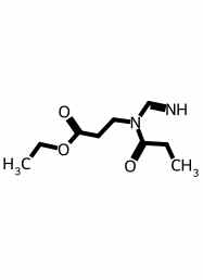 CCOC(=O)CCN(C=N)C(=O)CC